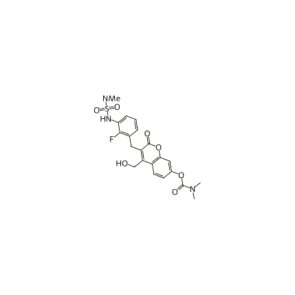 CNS(=O)(=O)Nc1cccc(Cc2c(CO)c3ccc(OC(=O)N(C)C)cc3oc2=O)c1F